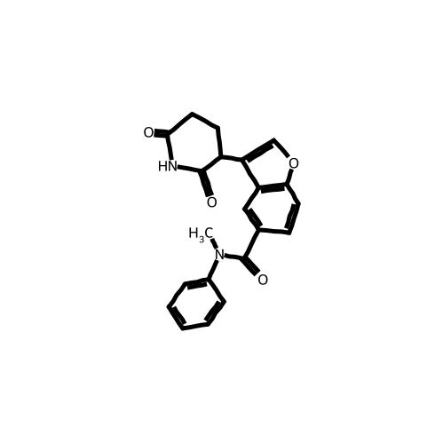 CN(C(=O)c1ccc2occ(C3CCC(=O)NC3=O)c2c1)c1ccccc1